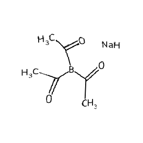 CC(=O)B(C(C)=O)C(C)=O.[NaH]